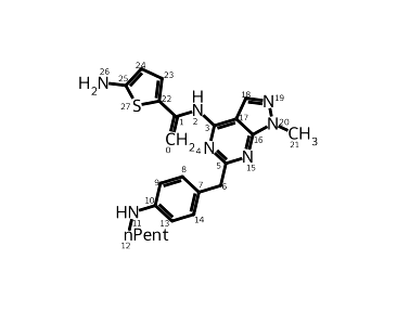 C=C(Nc1nc(Cc2ccc(NCCCCC)cc2)nc2c1cnn2C)c1ccc(N)s1